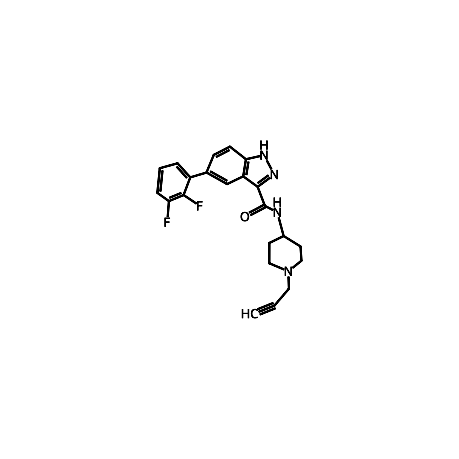 C#CCN1CCC(NC(=O)c2n[nH]c3ccc(-c4cccc(F)c4F)cc23)CC1